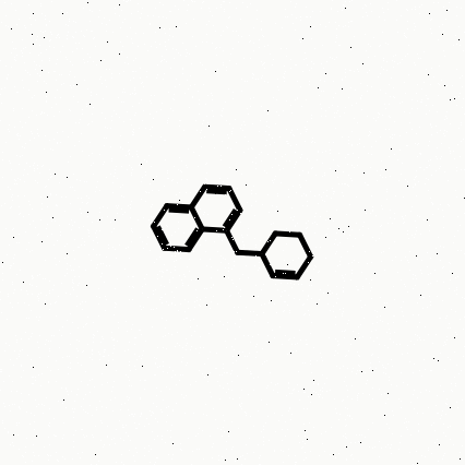 C1=CC(Cc2cccc3ccccc23)CCC1